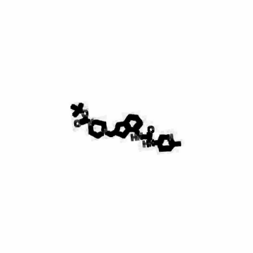 Cc1ccc(NC(=O)Nc2cccc3c2CC(CN2CCN(C(=O)OC(C)(C)C)CC2)C3)cn1